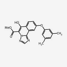 COC(=O)c1c(O)c2ccc(Oc3cc(C)cc(C)c3)cc2c2ncnn12